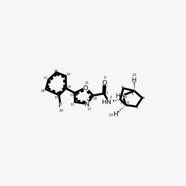 O=C(N[C@@H]1C[C@H]2CC[C@@H]1N2)c1ncc(-c2ccccc2F)o1